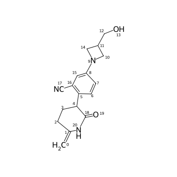 C=C1CCC(c2ccc(N3CC(CO)C3)cc2C#N)C(=O)N1